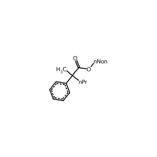 CCCCCCCCCOC(=O)C(C)(CCC)c1ccccc1